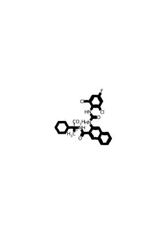 C[C@@](NC(=O)c1cc2ccccc2cc1NC(=O)Nc1c(Cl)cc(F)cc1Cl)(C(=O)O)C1CCCCC1